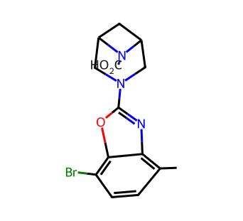 Cc1ccc(Br)c2oc(N3CC4CC(C3)N4C(=O)O)nc12